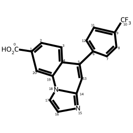 O=C(O)c1ccc2c(-c3ccc(C(F)(F)F)cc3)cc3nccn3c2c1